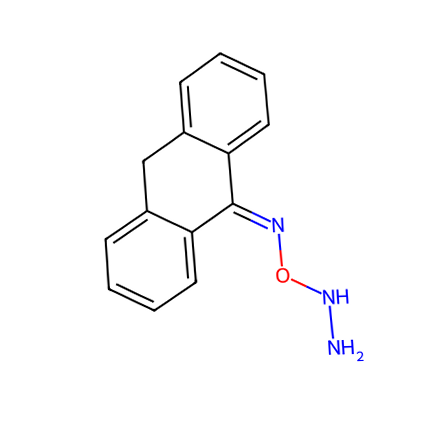 NNON=C1c2ccccc2Cc2ccccc21